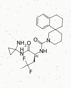 CC(F)(F)C[C@H](NC(=O)N1CCCC2(CCCc3ccccc32)C1)C(=O)NC1(N)CC1